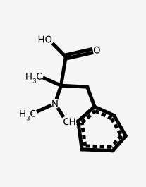 CN(C)C(C)(Cc1ccccc1)C(=O)O